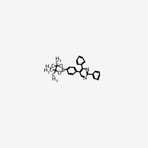 CC1(C)OB(c2ccc(-c3cnc(-c4ccccc4)nc3-c3ccccc3)cc2)OC1(C)C